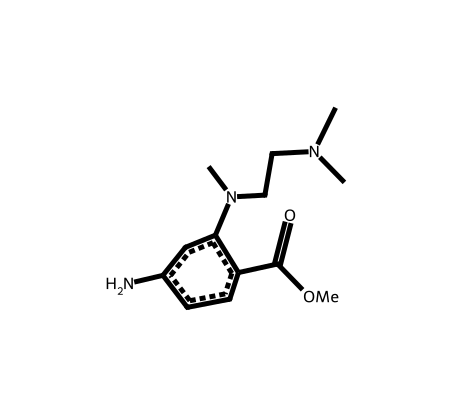 COC(=O)c1ccc(N)cc1N(C)CCN(C)C